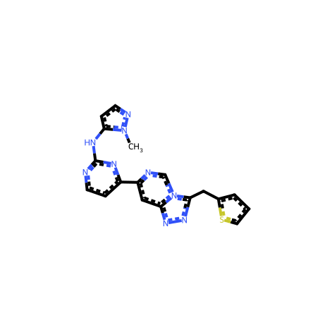 Cn1nccc1Nc1nccc(-c2cc3nnc(Cc4cccs4)n3cn2)n1